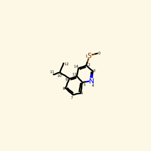 CSc1cnc2cccc(C(C)C)c2c1